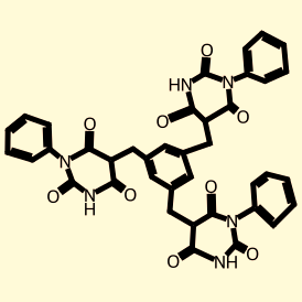 O=C1NC(=O)N(c2ccccc2)C(=O)C1Cc1cc(CC2C(=O)NC(=O)N(c3ccccc3)C2=O)cc(CC2C(=O)NC(=O)N(c3ccccc3)C2=O)c1